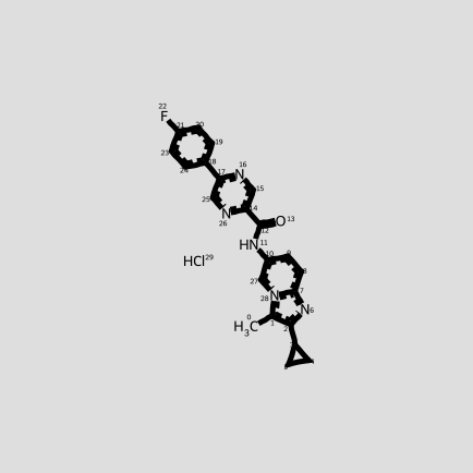 Cc1c(C2CC2)nc2ccc(NC(=O)c3cnc(-c4ccc(F)cc4)cn3)cn12.Cl